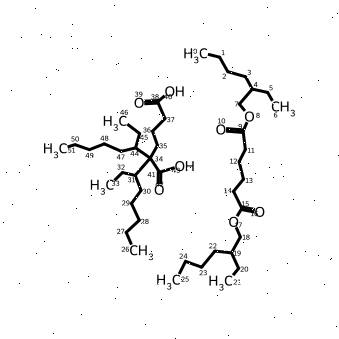 CCCCC(CC)COC(=O)CCCCC(=O)OCC(CC)CCCC.CCCCCC(CC)C(CCCC(=O)O)(C(=O)O)C(CC)CCCCC